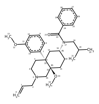 C=CCN1CC[C@@]2(c3cccc(OC)c3)C[C@H](N(CC(C)C)C(=O)c3ccccc3)CC[C@]2(OC)C1